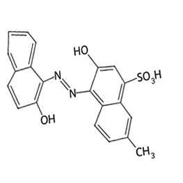 Cc1ccc2c(/N=N/c3c(O)ccc4ccccc34)c(O)cc(S(=O)(=O)O)c2c1